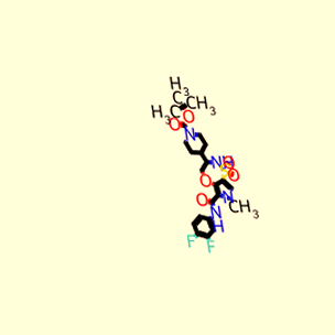 Cn1cc2c(c1C(=O)Nc1ccc(F)c(F)c1)OCC(C1CCN(C(=O)OC(C)(C)C)CC1)NS2(=O)=O